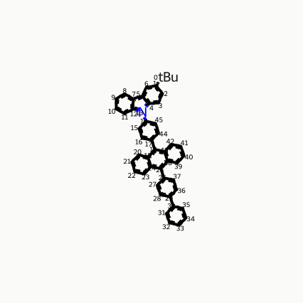 CC(C)(C)c1ccc2c(c1)c1ccccc1n2-c1ccc(-c2c3ccccc3c(-c3ccc(-c4ccccc4)cc3)c3ccccc23)cc1